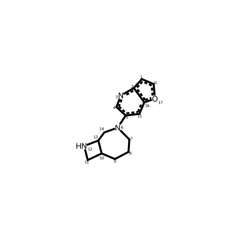 c1cc2ncc(N3CCCC4CNC4C3)cc2o1